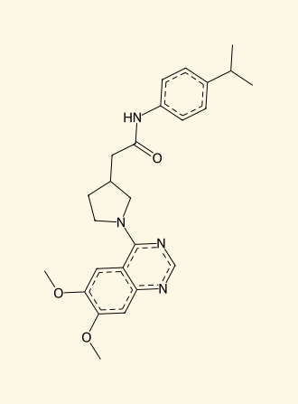 COc1cc2ncnc(N3CCC(CC(=O)Nc4ccc(C(C)C)cc4)C3)c2cc1OC